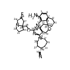 N#Cc1c(N)ccc2c1[C@@]1(CCC2)Cc2nc(OC[C@@]34CCCN3C[C@H](F)C4)nc(N3CCC[C@H](C#N)CC3)c2CO1